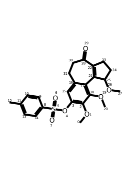 COc1c(OS(=O)(=O)c2ccc(C)cc2)cc2c(c1OC)C1=C(CCC1OC)C(=O)CC2